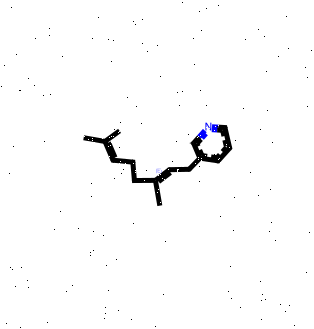 CC(C)=CCC/C(C)=C/Cc1[c]nccc1